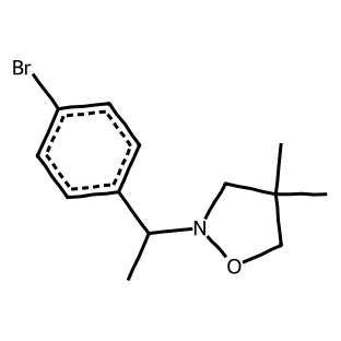 CC(c1ccc(Br)cc1)N1CC(C)(C)CO1